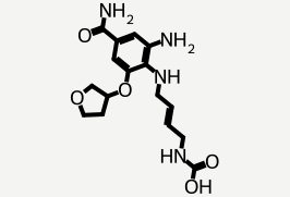 NC(=O)c1cc(N)c(NC/C=C/CNC(=O)O)c(OC2CCOC2)c1